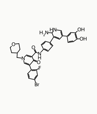 NC1NC=C(c2ccc(O)c(O)c2)C=C1c1ccc(NC(=O)c2cn(CC3CCOCC3)cc(-c3ccc(Br)cc3F)c2=O)cc1